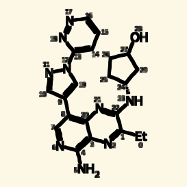 CCc1nc2c(N)ncc(-c3cnn(-c4cccnn4)c3)c2nc1N[C@@H]1CCC(O)C1